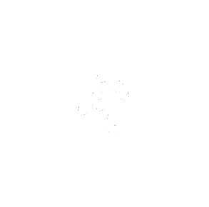 C1=CC2=Cc3c(sc4cccc(-c5ccc(N(c6ccccc6)c6ccc7c(c6)oc6ccccc67)cc5)c34)NC2C=C1